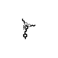 CCCCOc1cc(/C=C/c2ccc(C)cc2)nnc1OCCCC